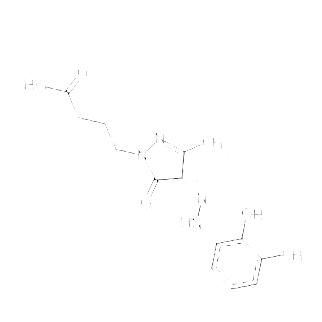 CC1=NN(CCCC(=O)O)C(=O)/C1=N\Nc1cccc(C)c1O